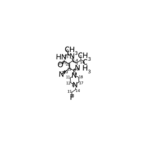 Cc1nc2c(C(C)C)nc(N3CCN(CCF)CC3)c(C#N)c2c(=O)[nH]1